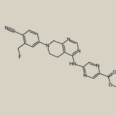 COC(=O)c1cnc(Nc2ncnc3c2CCN(c2ccc(C#N)c(CF)c2)C3)cn1